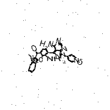 COc1c(C(=O)c2cc3ccccc3n2C)ccc(-c2nn(-c3cc[n+]([O-])cc3)c3ncnc(N)c23)c1N